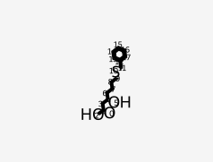 O=C(O)CC(O)CCCCSCc1ccccc1